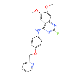 COc1cc2nc(F)nc(Nc3ccc(OCc4ccccn4)cc3)c2cc1OC